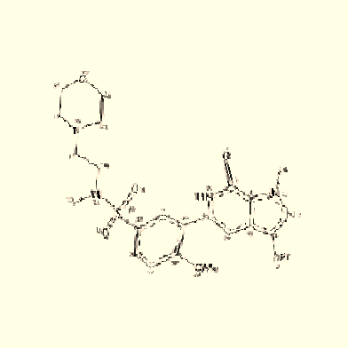 CCCc1nn(C)c2c(=O)[nH]c(-c3cc(S(=O)(=O)N(C)CCN4CCOCC4)ccc3OC)cc12